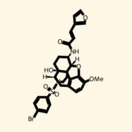 COc1ccc2c3c1O[C@H]1[C@H](NC(=O)/C=C/c4ccoc4)CC[C@@]4(O)[C@@H](C2)N(S(=O)(=O)c2ccc(Br)cc2)CC[C@]314